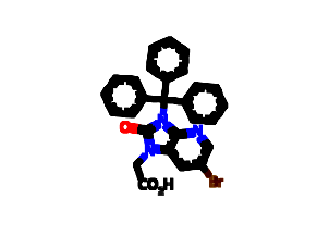 O=C(O)Cn1c(=O)n(C(c2ccccc2)(c2ccccc2)c2ccccc2)c2ncc(Br)cc21